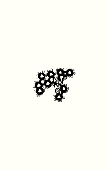 c1ccc(-c2cc(-c3c(-c4ccccc4)ccc4ccccc34)ccc2-c2nc(-c3cccc4c3oc3ccccc34)nc(-c3cccc4c3oc3ccccc34)n2)cc1